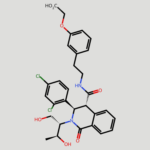 C[C@H](O)[C@H](CO)N1C(=O)c2ccccc2[C@@H](C(=O)NCCc2cccc(OCC(=O)O)c2)[C@@H]1c1ccc(Cl)cc1Cl